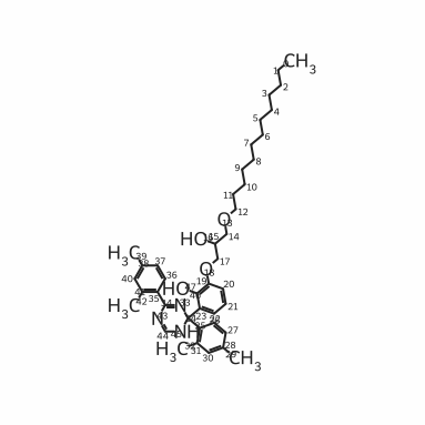 CCCCCCCCCCCCCOCC(O)COc1cccc(C2(c3ccc(C)cc3C)N=C(c3ccc(C)cc3C)N=CN2)c1O